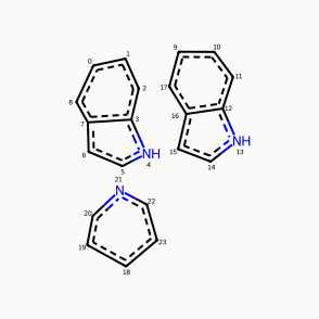 c1ccc2[nH]ccc2c1.c1ccc2[nH]ccc2c1.c1ccncc1